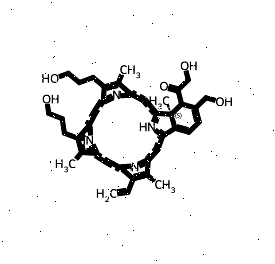 C=CC1=C(C)c2cc3[nH]c(cc4nc(cc5[nH]c(cc1n2)c(C)c5CCCO)C(CCCO)=C4C)[C@]1(C)C3=CC=C(CO)C1C(=O)CO